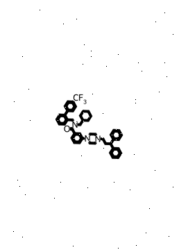 O=C(c1cccc(N2CCN(CCC(c3ccccc3)c3ccccc3)CC2)c1)N(Cc1ccccc1-c1ccc(C(F)(F)F)cc1)CC1CCCCC1